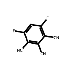 N#Cc1c(F)cc(F)c(C#N)c1C#N